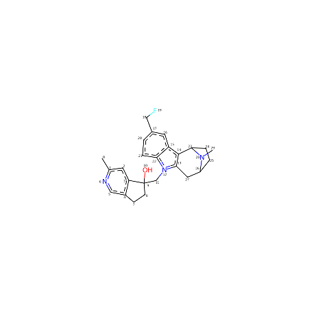 Cc1cc2c(cn1)CCC2(O)Cn1c2c(c3cc(CF)ccc31)C1CCC(C2)N1C